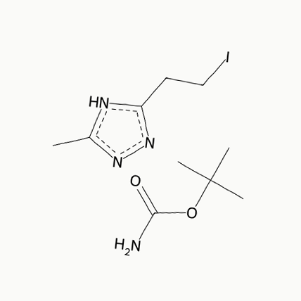 CC(C)(C)OC(N)=O.Cc1nnc(CCI)[nH]1